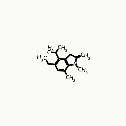 C=C1Cc2c(C(C)C)c(CC)cc(C)c2N1C